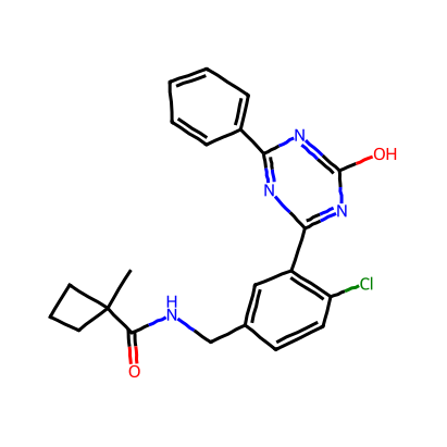 CC1(C(=O)NCc2ccc(Cl)c(-c3nc(O)nc(-c4ccccc4)n3)c2)CCC1